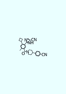 Cc1cc(C2CCC2)c(-c2ncc(C#N)[nH]2)cc1C(=O)N1CCC(c2ccc(C#N)cc2)CC1